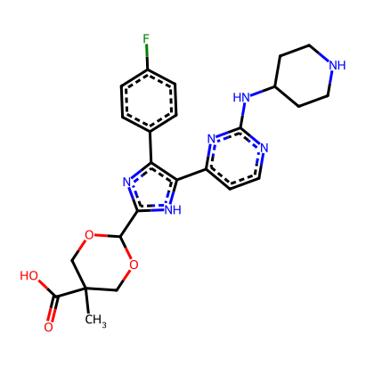 CC1(C(=O)O)COC(c2nc(-c3ccc(F)cc3)c(-c3ccnc(NC4CCNCC4)n3)[nH]2)OC1